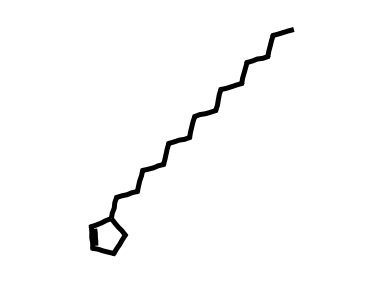 CCCCCCCCCCCCCC[C]1C=CCC1